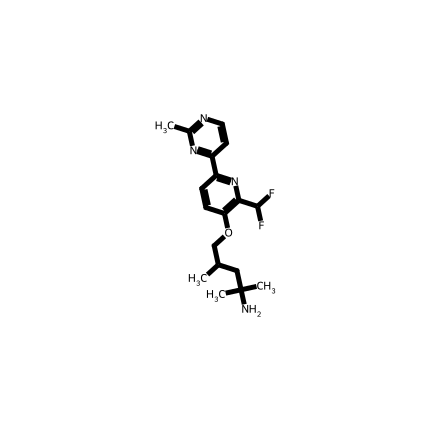 Cc1nccc(-c2ccc(OCC(C)CC(C)(C)N)c(C(F)F)n2)n1